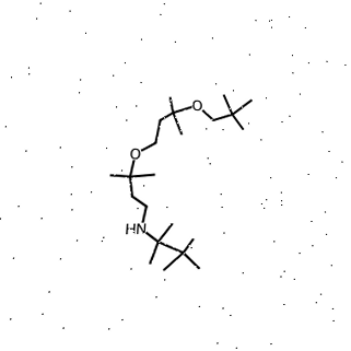 CC(C)(C)COC(C)(C)CCOC(C)(C)CCNC(C)(C)C(C)(C)C